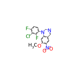 COc1cc2c(cc1[N+](=O)[O-])C=NCN2c1ccc(F)c(Cl)c1F